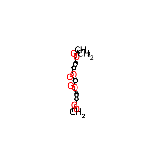 C=CC(=O)OCC1CC2C3CC(COC(=O)c4cccc(C(=O)OCC5C=C6C(C5)C5CC(COC(=O)C(=C)C)C6C5)c4)C(C3)C2C1